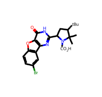 CC(C)(C)C1CC(c2nc3c(oc4ccc(Br)cc43)c(=O)[nH]2)N(C(=O)O)C1(C)C